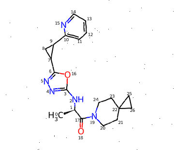 C[C@@H](Nc1nnc(C2CC2c2ccccn2)o1)C(=O)N1CCC2(CC1)CC2